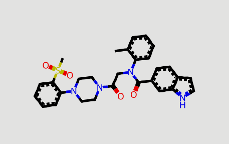 Cc1ccccc1N(CC(=O)N1CCN(c2ccccc2S(C)(=O)=O)CC1)C(=O)c1ccc2cc[nH]c2c1